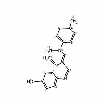 C=NC(/C=N\c1ccc(C)cc1)=C\N(N)c1ccc(C)cc1